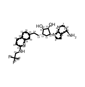 Nc1ncnc2c1ccn2[C@@H]1C[C@H](CCc2ccc3ccc(NCC(F)(F)F)nc3c2)[C@@H](O)[C@H]1O